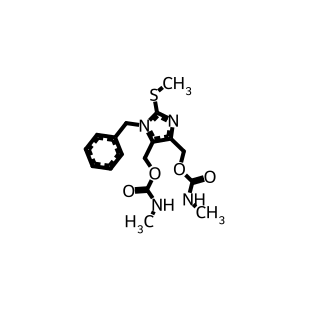 CNC(=O)OCc1nc(SC)n(Cc2ccccc2)c1COC(=O)NC